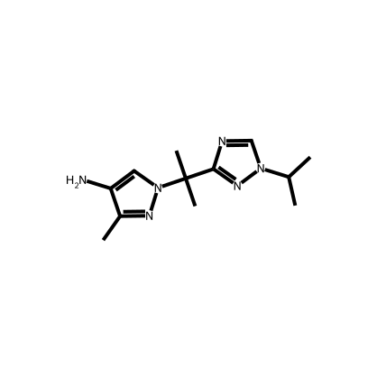 Cc1nn(C(C)(C)c2ncn(C(C)C)n2)cc1N